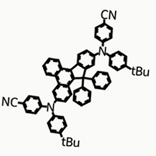 CC(C)(C)c1ccc(N(c2ccc(C#N)cc2)c2ccc3c(c2)C(c2ccccc2)(c2ccccc2)c2c-3c3ccccc3c3cc(N(c4ccc(C#N)cc4)c4ccc(C(C)(C)C)cc4)ccc23)cc1